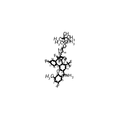 Cc1cc(F)ccc1Oc1c(C(N)=O)cc(C(F)(F)F)c(C2CC2)c1-c1ccc(F)cc1C(F)(F)C(=O)NCCO[Si](C)(C)C(C)(C)C